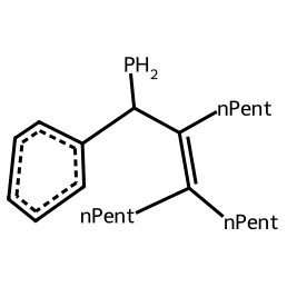 CCCCCC(CCCCC)=C(CCCCC)C(P)c1ccccc1